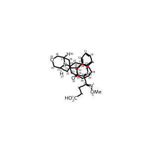 CON=C(CCC(=O)O)c1nc2ccccc2n(C2C[C@H]3COC[C@H](C2)N3C2CC3CCCCC(C3)C2)c1=O